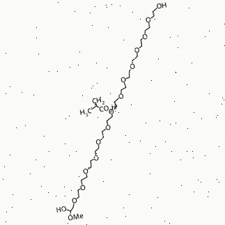 C=C(C)C(=O)O.COC(O)COCCOCCOCCOCCOCCOCCOCCOCCOCCOCCOCCOCCOCCO